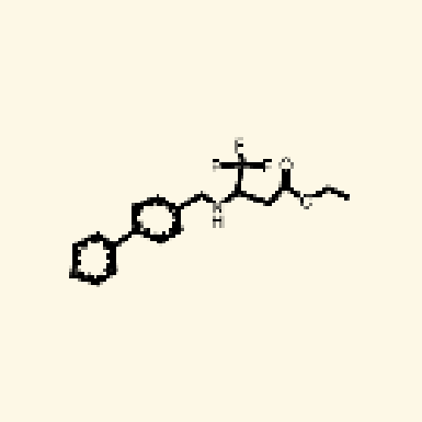 CCOC(=O)CC(NCc1ccc(-c2ccccc2)cc1)C(F)(F)F